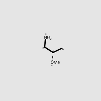 [CH2][C@@H](CN)OC